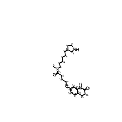 CN(CCCCCCC1CCNC1)C(=O)CCCOc1ccc2c(c1)NC(=O)CC2